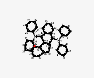 c1ccc(N(c2ccccc2)c2c3ccccc3c(N(c3ccccc3)c3ccccc3)c3c2ccc2ccccc23)cc1